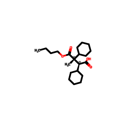 CCCCOC(=O)[C@](C)(C1CCCCC1)[C@@H](C(=O)O)C1CCCCC1